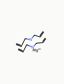 C=CC[N-]CC=C.C=CC[N-]CC=C.[Mg+2]